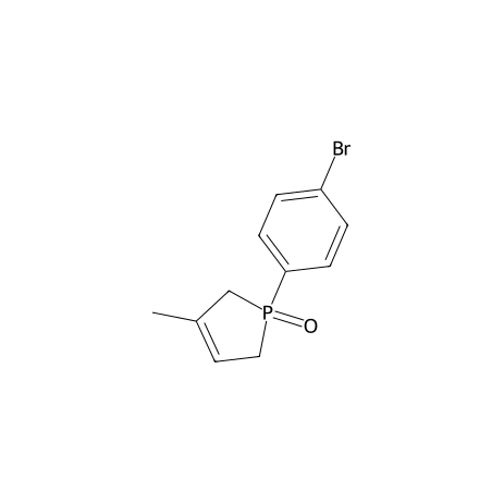 CC1=CCP(=O)(c2ccc(Br)cc2)C1